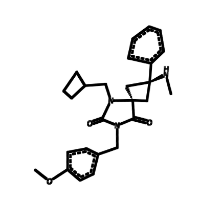 CN[C@]1(c2ccccc2)C[C@]2(C1)C(=O)N(Cc1ccc(OC)cc1)C(=O)N2CC1CCC1